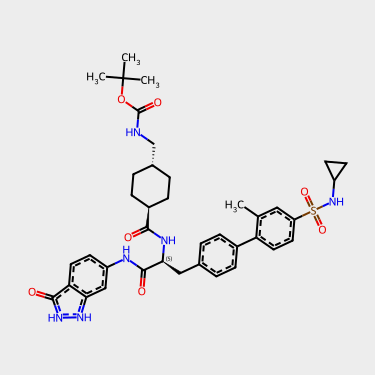 Cc1cc(S(=O)(=O)NC2CC2)ccc1-c1ccc(C[C@H](NC(=O)[C@H]2CC[C@H](CNC(=O)OC(C)(C)C)CC2)C(=O)Nc2ccc3c(=O)[nH][nH]c3c2)cc1